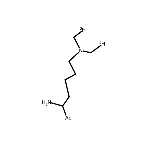 [2H]CN(C[2H])CCCCC(N)C(C)=O